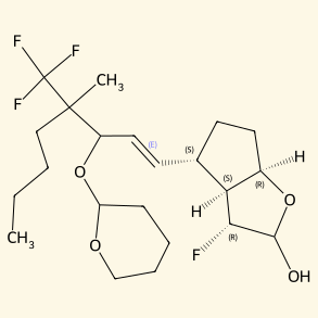 CCCCC(C)(C(/C=C/[C@@H]1CC[C@H]2OC(O)[C@H](F)[C@@H]12)OC1CCCCO1)C(F)(F)F